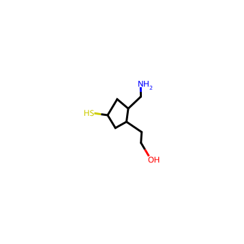 NCC1CC(S)CC1CCO